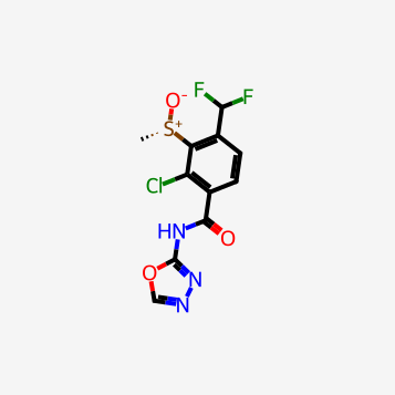 C[S@+]([O-])c1c(C(F)F)ccc(C(=O)Nc2nnco2)c1Cl